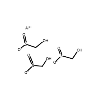 O=S([O-])CO.O=S([O-])CO.O=S([O-])CO.[Al+3]